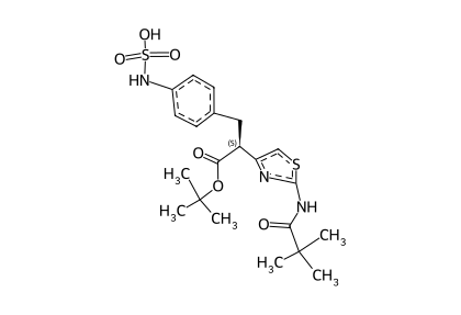 CC(C)(C)OC(=O)[C@@H](Cc1ccc(NS(=O)(=O)O)cc1)c1csc(NC(=O)C(C)(C)C)n1